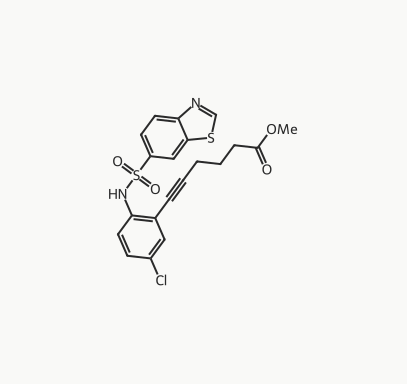 COC(=O)CCCC#Cc1cc(Cl)ccc1NS(=O)(=O)c1ccc2ncsc2c1